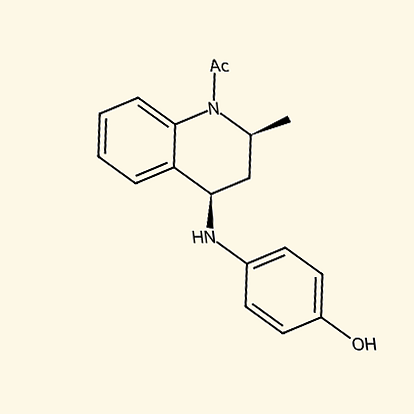 CC(=O)N1c2ccccc2[C@H](Nc2ccc(O)cc2)C[C@@H]1C